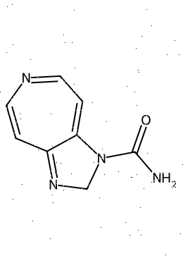 NC(=O)N1CN=C2C=CN=CC=C21